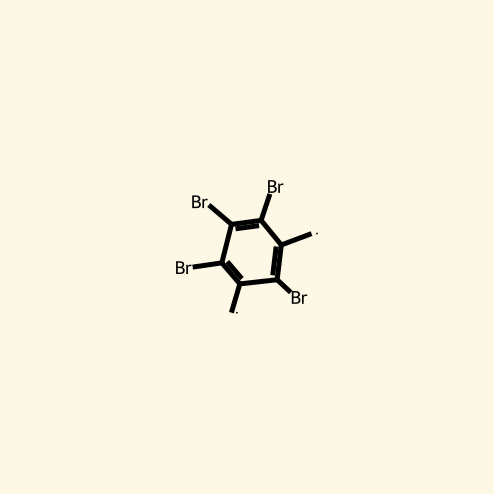 [CH2]c1c(Br)c([CH2])c(Br)c(Br)c1Br